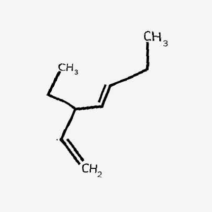 C=[C]C(C=CCC)CC